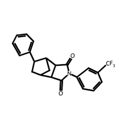 O=C1C2C3CC(c4ccccc4)C(C3)C2C(=O)N1c1cccc(C(F)(F)F)c1